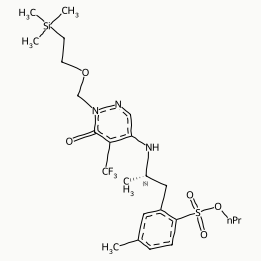 CCCOS(=O)(=O)c1ccc(C)cc1C[C@H](C)Nc1cnn(COCC[Si](C)(C)C)c(=O)c1C(F)(F)F